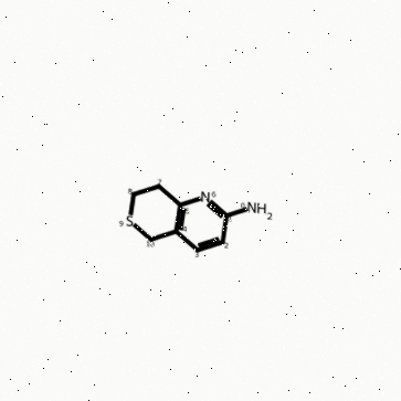 Nc1ccc2c(n1)CCSC2